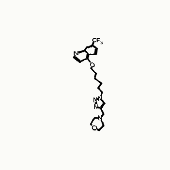 FC(F)(F)c1ccc2c(OCCCCCCn3cc(CN4CCOCC4)nn3)ccnc2c1